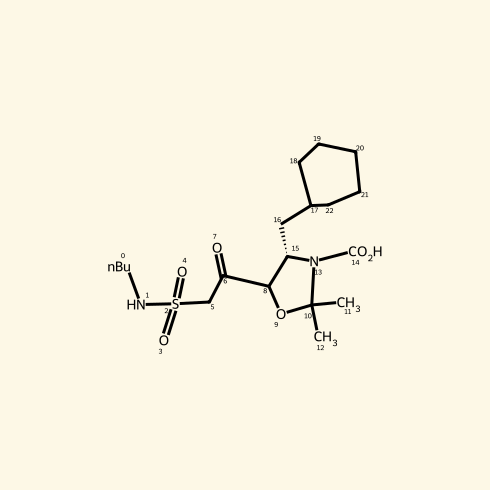 CCCCNS(=O)(=O)CC(=O)C1OC(C)(C)N(C(=O)O)[C@H]1CC1CCCCC1